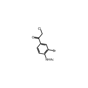 CC(=O)Nc1ccc(C(=O)CCl)cc1Br